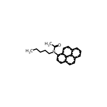 CCCCCN(C(C)=O)c1ccc2ccc3cccc4ccc1c2c34